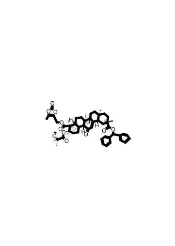 CO[C@@H](C)C(=O)O[C@H]1CC[C@@]2(C)[C@@H](CC[C@]3(C)[C@@H]2C(=O)C=C2[C@@H]4C[C@@](C)(C(=O)OC(c5ccccc5)c5ccccc5)CC[C@]4(C)CC[C@]23C)[C@]1(C)C(=O)OCc1oc(=O)oc1C